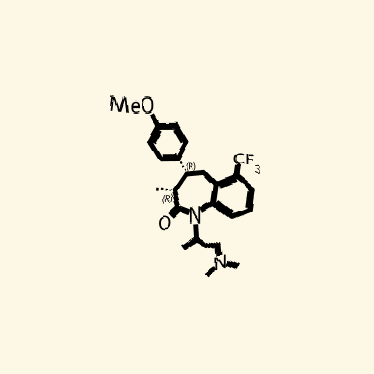 COc1ccc([C@@H]2Cc3c(cccc3C(F)(F)F)N(C(C)CN(C)C)C(=O)[C@@H]2C)cc1